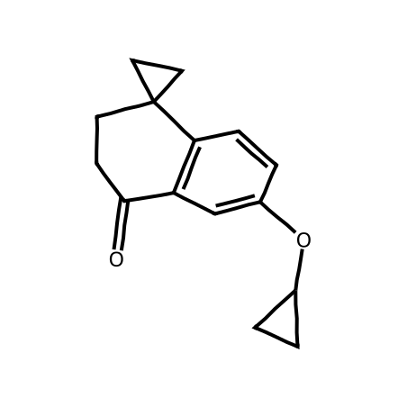 O=C1CCC2(CC2)c2ccc(OC3CC3)cc21